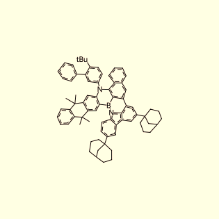 CC(C)(C)c1ccc(N2c3cc4c(cc3B3c5c(cc6ccccc6c52)-c2cc(C56CCCC(CCC5)C6)cc5c6cc(C78CCCC(CCC7)C8)ccc6n3c25)C(C)(C)c2ccccc2C4(C)C)cc1-c1ccccc1